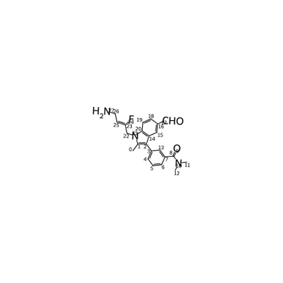 Cc1c(-c2cccc(C(=O)N(C)C)c2)c2cc(C=O)ccc2n1C/C(F)=C/CN